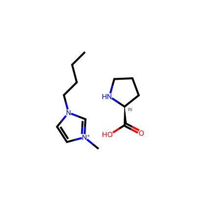 CCCCn1cc[n+](C)c1.O=C(O)[C@@H]1CCCN1